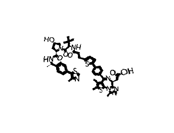 Cc1ncsc1-c1ccc([C@H](C)NC(=O)[C@@H]2C[C@@H](O)CN2C(=O)[C@@H](NC(=O)CCc2ccc(-c3ccc(C4=N[C@@H](CC(=O)O)c5nnc(C)n5-c5sc(C)c(C)c54)cc3)s2)C(C)(C)C)cc1